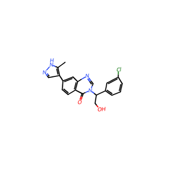 Cc1[nH]ncc1-c1ccc2c(=O)n(C(CO)c3cccc(Cl)c3)cnc2c1